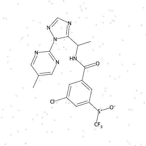 Cc1cnc(-n2ncnc2C(C)NC(=O)c2cc(Cl)cc([S+]([O-])C(F)(F)F)c2)nc1